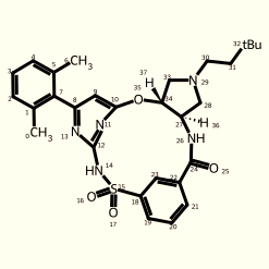 Cc1cccc(C)c1-c1cc2nc(n1)NS(=O)(=O)c1cccc(c1)C(=O)N[C@@H]1CN(CCC(C)(C)C)C[C@H]1O2